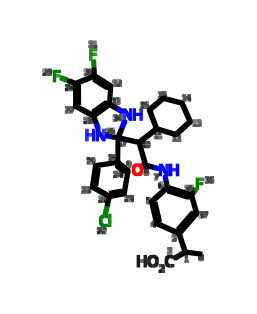 CC(C(=O)O)c1ccc(NC(=O)C(C2CCCCC2)C2(c3ccc(Cl)cc3)Nc3cc(F)c(F)cc3N2)c(F)c1